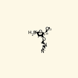 B[C@H]1CC(OCN=[N+]=[N-])[C@@H](COC)O1